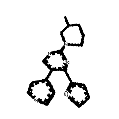 CC1CCCN(c2ncc(-c3ccncc3)c(-c3ccco3)n2)C1